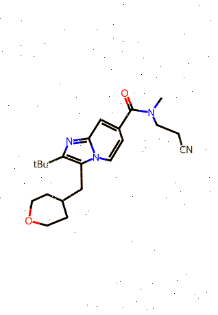 CN(CCC#N)C(=O)c1ccn2c(CC3CCOCC3)c(C(C)(C)C)nc2c1